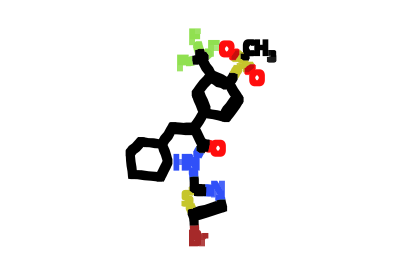 CS(=O)(=O)c1ccc(C(=CC2CCCCC2)C(=O)Nc2ncc(Br)s2)cc1C(F)(F)F